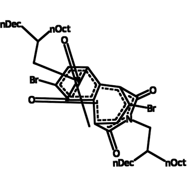 CCCCCCCCCCC(CCCCCCCC)Cn1c(=O)c2cc(Br)c(c1=O)c1c3cc(Br)c(c(=O)n(CC(CCCCCCCC)CCCCCCCCCC)c3=O)c21